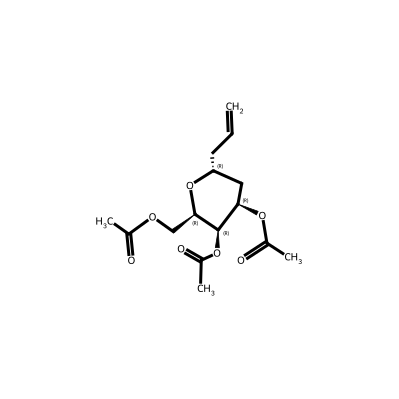 C=CC[C@@H]1C[C@@H](OC(C)=O)[C@@H](OC(C)=O)[C@@H](COC(C)=O)O1